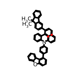 CC1(C)c2ccccc2-c2cc(-c3ccccc3-c3ccccc3N(c3ccccc3)c3ccc(-c4cccc5oc6ccccc6c45)cc3)ccc21